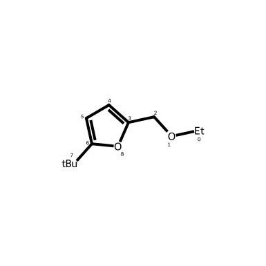 CCOCc1ccc(C(C)(C)C)o1